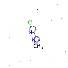 Cn1ccc(-c2ccc(Cl)cn2)n1